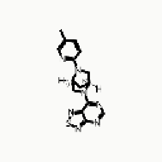 Cc1ccc(N2C[C@@H]3C[C@H]2CN3c2ncnc3nsnc23)nc1